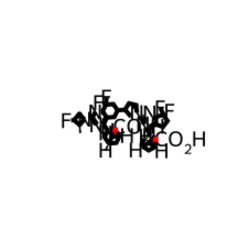 C[C@H]1C(F)CN1c1nc(N2C[C@H]3C[C@@H](C2)[C@@H]3CC(=O)O)c2c(n1)C(F)(F)CC(C1CCN(c3nc(N4C[C@H]5C[C@@H](C4)[C@@H]5CC(=O)O)c4c(n3)C(F)(F)CC4)C1)C2